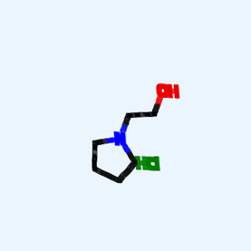 Cl.OCCN1CCCC1